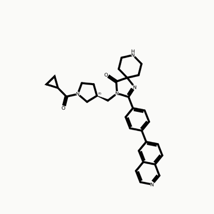 O=C(C1CC1)N1CC[C@@H](CN2C(=O)C3(CCNCC3)N=C2c2ccc(-c3ccc4cnccc4c3)cc2)C1